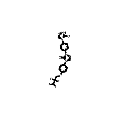 O=c1[nH]ncn1-c1ccc(-n2ncn(-c3ccc(OCC(F)(F)C(F)F)cc3)c2=O)cc1